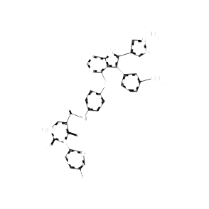 Cn1cc(-c2oc3ncnc(Oc4ccc(NC(=O)c5c[nH]c(=O)n(-c6ccc(F)cn6)c5=O)cc4)c3c2-c2cccc(N)c2)cn1